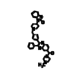 CN1CCN(C(=O)c2ccc3nc(-c4ccc(CN5CCC(N6C(=O)[N]c7ccccc76)CC5)cc4)c(-c4ccccc4)nc3c2)CC1